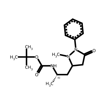 C[C@@H](CC1CC(=O)N(c2ccccc2)N1C)NC(=O)OC(C)(C)C